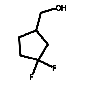 OCC1CCC(F)(F)C1